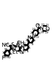 CCc1nc2ccc(-c3ccc(N4CCC(C(=O)N5CCOCC5)CC4)nc3)cn2c1N(C)c1nc(-c2ccc(F)cc2)c(C#N)s1